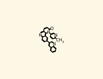 Cc1ccc(-n2c(=O)ccc3cnc4ccc(-c5cnc6ccccc6c5)cc4c32)cn1